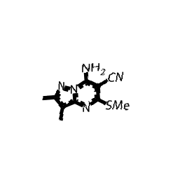 CSc1nc2c(C)c(C)nn2c(N)c1C#N